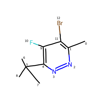 Cc1nnc(C(C)(C)C)c(F)c1Br